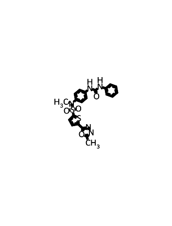 Cc1nnc(-c2ccc(S(=O)(=O)N(C)c3ccc(NC(=O)Nc4ccccc4)cc3)s2)o1